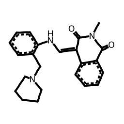 CN1C(=O)C(=CNc2ccccc2CN2CCCCC2)c2ccccc2C1=O